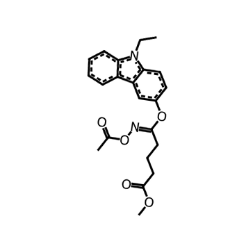 CCn1c2ccccc2c2cc(OC(CCCC(=O)OC)=NOC(C)=O)ccc21